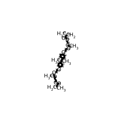 C=C(C)C(=O)OCCOC(C)OCCOc1ccc(C(C)(C)c2ccc(OCCOC(C)OCCOC(=O)C(=C)C)cc2)cc1